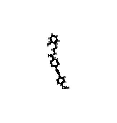 CC(=O)Oc1ccc(C#Cc2ccc(NCCOc3ccccc3F)nn2)cc1